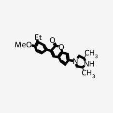 CCc1cc(-c2cc3ccc(N4C[C@@H](C)N[C@@H](C)C4)cc3oc2=O)ccc1OC